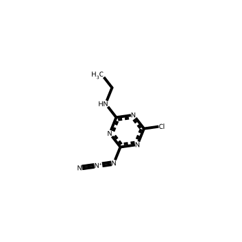 CCNc1nc(Cl)nc(N=[N+]=[N-])n1